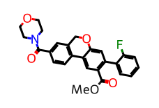 COC(=O)c1cc2c(cc1-c1ccccc1F)OCc1cc(C(=O)N3CCOCC3)ccc1-2